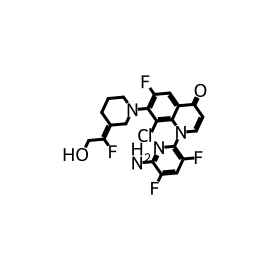 Nc1nc(-n2ccc(=O)c3cc(F)c(N4CCCC(=C(F)CO)C4)c(Cl)c32)c(F)cc1F